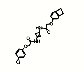 O=C(COc1ccc(Cl)cc1)NC12CC(NC(=O)COc3ccc4c(c3)CC4)(C1)C2